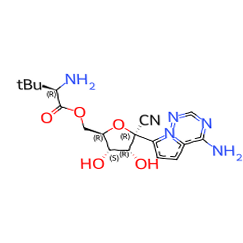 CC(C)(C)[C@@H](N)C(=O)OC[C@H]1O[C@@](C#N)(c2ccc3c(N)ncnn23)[C@H](O)[C@@H]1O